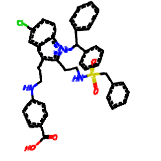 O=C(O)c1ccc(NCCc2c(CCNS(=O)(=O)Cc3ccccc3)n(C(c3ccccc3)c3ccccc3)c3ccc(Cl)cc23)cc1